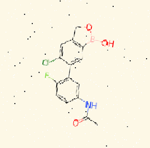 CC(=O)Nc1ccc(F)c(-c2cc3c(cc2Cl)COB3O)c1